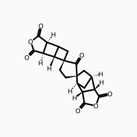 O=C1OC(=O)[C@H]2[C@@H]1[C@H]1C[C@@H]2[C@@]2(CC[C@@]3(CC4[C@@H]5C(=O)OC(=O)[C@@H]5[C@H]43)C2=O)C1